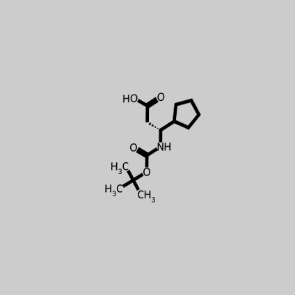 CC(C)(C)OC(=O)N[C@H](CC(=O)O)C1CCCC1